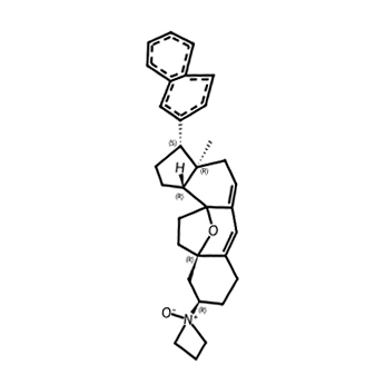 C[C@]12CC=C3C=C4CC[C@@H]([N+]5([O-])CCC5)C[C@]45CCC3(O5)[C@@H]1CC[C@@H]2c1ccc2ccccc2c1